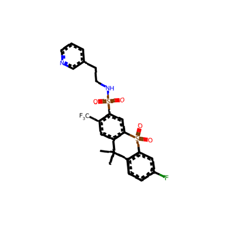 CC1(C)c2ccc(F)cc2S(=O)(=O)c2cc(S(=O)(=O)NCCc3cccnc3)c(C(F)(F)F)cc21